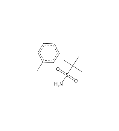 CC(C)(C)S(N)(=O)=O.Cc1ccccc1